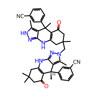 Cc1[nH]nc2c1C(C)(c1cccc(C#N)c1)C1=C(CC(C)(Cn3nc4c(c3C)[C@](C)(c3cccc(C#N)c3)C3=C(CC(C)(C)CC3=O)N4)CC1=O)N2